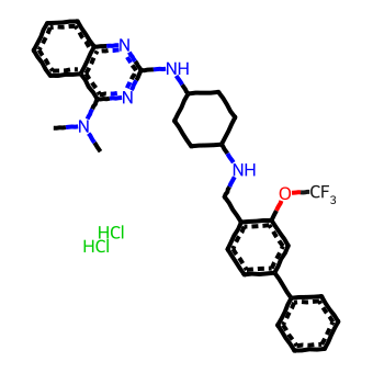 CN(C)c1nc(NC2CCC(NCc3ccc(-c4ccccc4)cc3OC(F)(F)F)CC2)nc2ccccc12.Cl.Cl